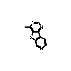 Cc1ncnc2c1sc1cnccc12